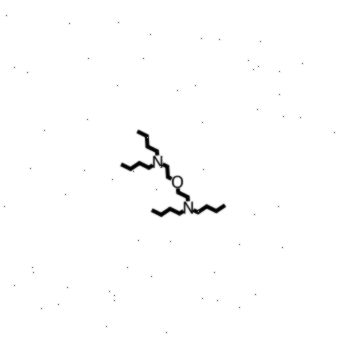 CCCCN(CCCC)CCOCCN(CCCC)CCCC